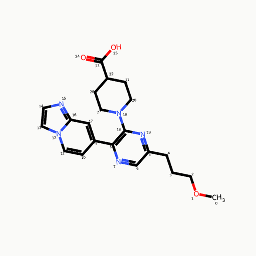 COCCCc1cnc(-c2ccn3ccnc3c2)c(N2CCC(C(=O)O)CC2)n1